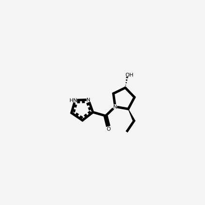 CC[C@@H]1C[C@@H](O)CN1C(=O)c1cc[nH]n1